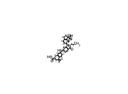 C=CCn1c(=O)c2cnc(Nc3ccc4c(c3)CN(C(=O)O)CC43CC3)nc2n1-c1ccc2c(n1)[C@](O)(C(F)(F)F)CC2